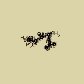 C=CC1CC(/C=C/C2CC(/C=C/C3CC(C=C)C(COC(=O)C(C)(C)CC)C3)C(COC(C)=O)C2)C(COC(=O)Cc2cc(-c3cccs3)sc2-c2cccs2)C1